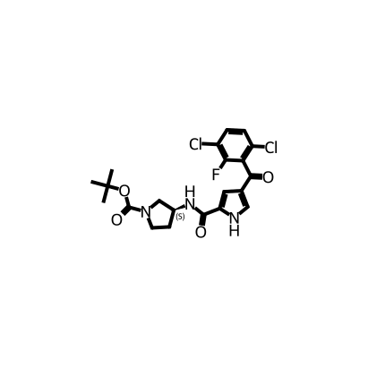 CC(C)(C)OC(=O)N1CC[C@H](NC(=O)c2cc(C(=O)c3c(Cl)ccc(Cl)c3F)c[nH]2)C1